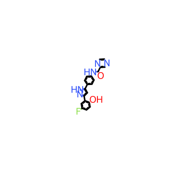 O=C(Nc1ccc(-c2cc(-c3cc(F)ccc3O)n[nH]2)cc1)c1cnccn1